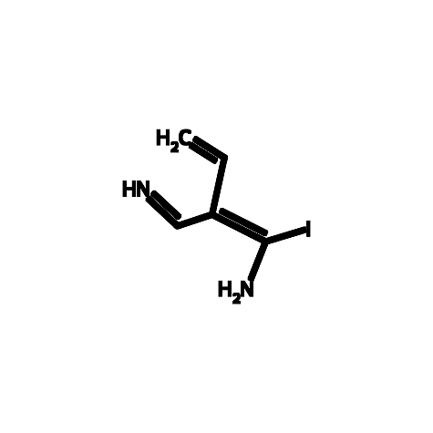 C=C/C(C=N)=C(/N)I